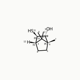 CC1(C)[C@@H]2CC[C@@]1(C)[C@@H](O)[C@@H]2S